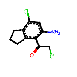 Nc1cc(Cl)c2c(c1C(=O)CCl)CCC2